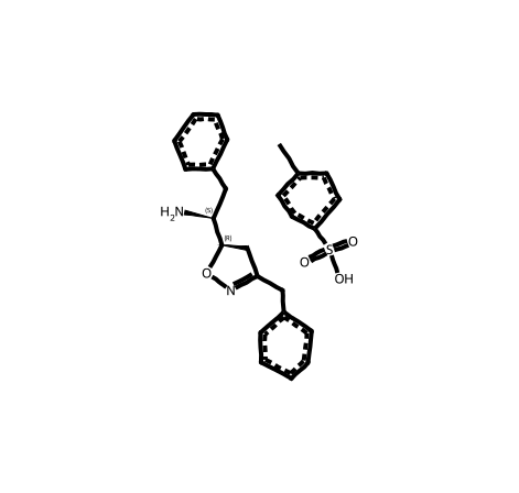 Cc1ccc(S(=O)(=O)O)cc1.N[C@@H](Cc1ccccc1)[C@H]1CC(Cc2ccccc2)=NO1